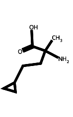 CC(N)(CCC1CC1)C(=O)O